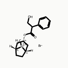 C[N+]1(C)[C@@H]2CC[C@H]1C[C@@H](OC(=O)C(CO)c1ccccc1)C2.[Br-]